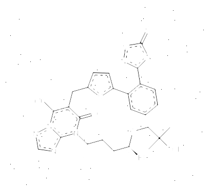 CCCc1c(Cc2ccc(-c3ccccc3-c3noc(=O)[nH]3)s2)c(=O)n([C@@H](C)CC[C@H](CC)OCC(C)(C)O)c2ncnn12